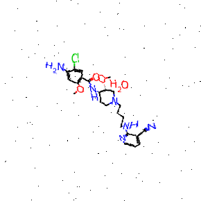 COc1cc(N)c(Cl)cc1C(=O)N[C@H]1CCN(CCCCNc2ncccc2C#N)C[C@H]1OC.O